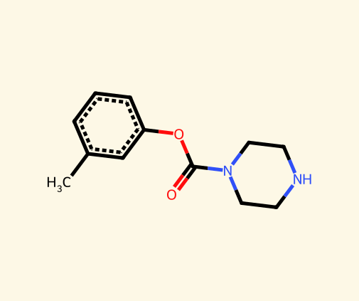 Cc1cccc(OC(=O)N2CCNCC2)c1